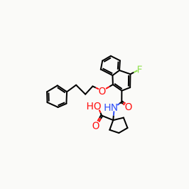 O=C(NC1(C(=O)O)CCCC1)c1cc(F)c2ccccc2c1OCCCc1ccccc1